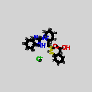 O=C(O)c1ccccc1SSCc1cccc[n+]1-c1nc2ccccc2[nH]1.[Cl-]